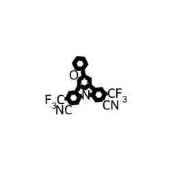 N#Cc1cc2c(cc1C(F)(F)F)c1cc3c4ccccc4oc3c3c4cc(C(F)(F)F)c(C#N)cc4n2c13